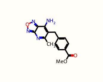 COC(=O)c1ccc(Cc2c(C)nc3nonc3c2N)cc1